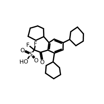 O=C(c1c(C2CCCCC2)cc(C2CCCCC2)cc1C1CCCCC1)C(F)(F)S(=O)(=O)O